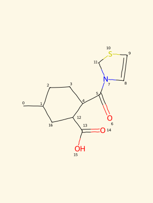 CC1CCC(C(=O)N2C=CSC2)C(C(=O)O)C1